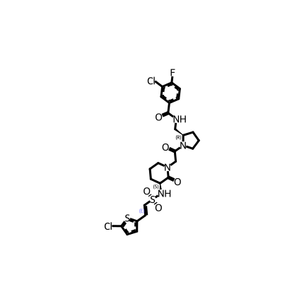 O=C(NC[C@H]1CCCN1C(=O)CN1CCC[C@H](NS(=O)(=O)/C=C/c2ccc(Cl)s2)C1=O)c1ccc(F)c(Cl)c1